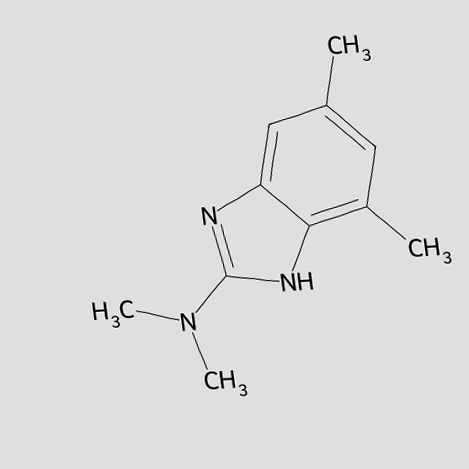 Cc1cc(C)c2[nH]c(N(C)C)nc2c1